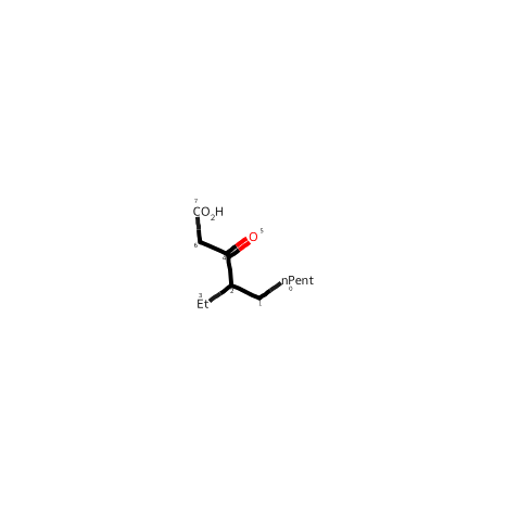 CCCCCCC(CC)C(=O)CC(=O)O